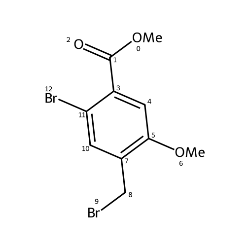 COC(=O)c1cc(OC)c(CBr)cc1Br